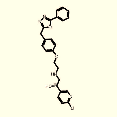 O[C@@H](CNCCOc1ccc(Cc2nnc(-c3ccccc3)o2)cc1)c1ccc(Cl)nc1